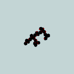 c1ccc(-n2c3ccccc3c3cc(-c4ccc5c6ccc7ccccc7c6n(-c6ccc(-c7ccc8c9c(cccc79)-c7ccc(-c9cc(-c%10ccc%11c(c%10)c%10ccc%12ccccc%12c%10n%11-c%10ccccc%10)cc%10c9c9ccccc9n%10-c9ccc(-c%10ccc%11c%12c(cccc%10%12)-c%10ccccc%10-%11)cc9)cc7-8)cc6)c5c4)ccc32)cc1